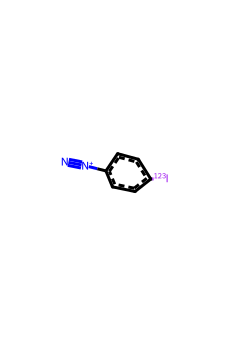 N#[N+]c1ccc([123I])cc1